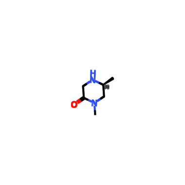 C[C@H]1CN(C)C(=O)CN1